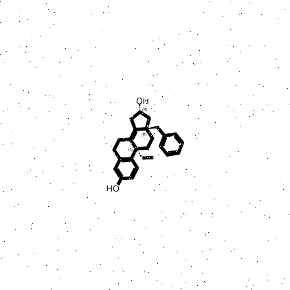 CC[C@@]12CC[C@@]3(Cc4ccccc4)C[C@@H](O)CC3=C1CCc1cc(O)ccc12